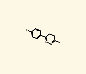 CC1=NN=C(c2ccc(F)cc2)CC1